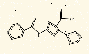 CC(C)C(=O)c1sc(NC(=O)c2ccncc2)nc1-c1ccco1